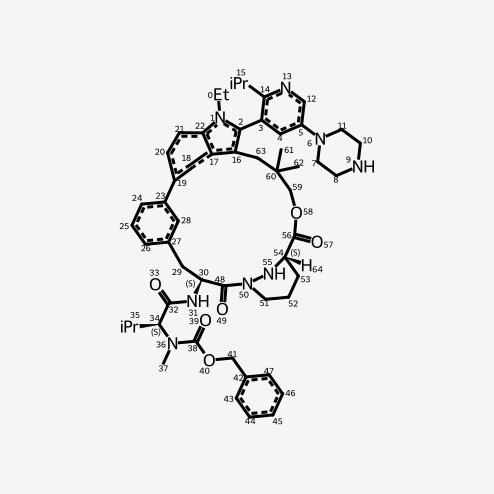 CCn1c(-c2cc(N3CCNCC3)cnc2C(C)C)c2c3cc(ccc31)-c1cccc(c1)C[C@H](NC(=O)[C@H](C(C)C)N(C)C(=O)OCc1ccccc1)C(=O)N1CCC[C@H](N1)C(=O)OCC(C)(C)C2